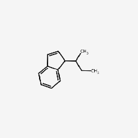 CCC(C)[C]1C=Cc2ccccc21